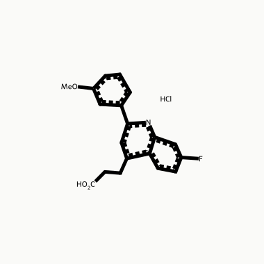 COc1cccc(-c2cc(CCC(=O)O)c3ccc(F)cc3n2)c1.Cl